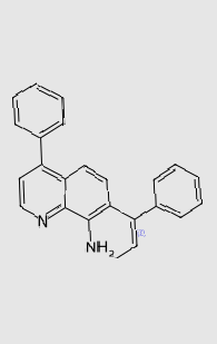 C/C=C(/c1ccccc1)c1ccc2c(-c3ccccc3)ccnc2c1N